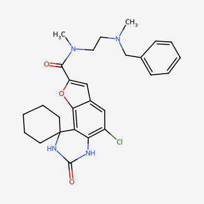 CN(CCN(C)C(=O)c1cc2cc(Cl)c3c(c2o1)C1(CCCCC1)NC(=O)N3)Cc1ccccc1